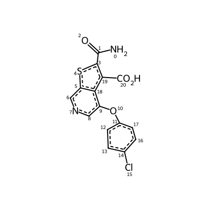 NC(=O)c1sc2cncc(Oc3ccc(Cl)cc3)c2c1C(=O)O